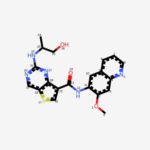 COc1cc2ncccc2cc1NC(=O)c1csc2cnc(NC(C)CO)nc12